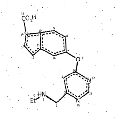 CCNCc1cc(Oc2ccc3c(ccn3C(=O)O)c2)ncn1